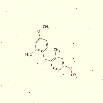 COc1ccc(Cc2ccc(OC)cc2C)c(C)c1